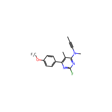 CC#CN(C)c1nc(F)nc(-c2ccc(OC(F)(F)F)cc2)c1C